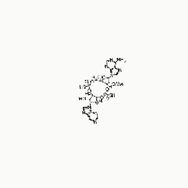 CO[C@H]1[C@H](n2cnc3c(N)ncnc32)O[C@]2(C)COP(=O)(S)O[C@@H]3[C@H](O[C@@H](n4cnc5cncnc54)[C@@H]3O)OP(=O)(S)O[C@@H]12